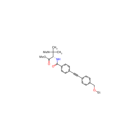 CCOCc1ccc(C#Cc2ccc(C(=O)N[C@H](C(=O)OC)C(C)(C)NC)cc2)cc1